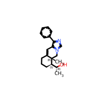 C[C@@H](O)[C@H]1CCCC2=Cc3c(-c4ccccc4)ncn3C[C@@]21C